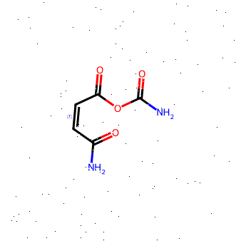 NC(=O)/C=C\C(=O)OC(N)=O